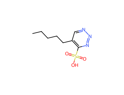 CCCCCc1cnnnc1S(=O)(=O)O